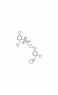 COCc1ccc(Cl)cc1S(=O)(=O)NCC1CC(Oc2ccc(CN3CCCC3)c(Cl)c2)C1